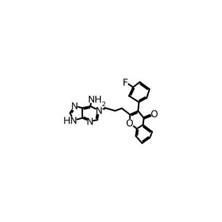 Nc1c2nc[nH]c2nc[n+]1CCCc1oc2ccccc2c(=O)c1-c1cccc(F)c1